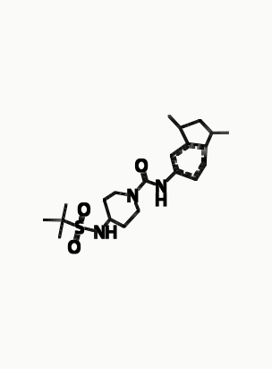 CC1CC(C)c2cc(NC(=O)N3CCC(NS(=O)(=O)C(C)(C)C)CC3)ccc21